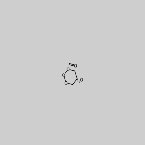 C1COOOC1.C=O.O